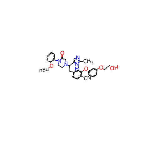 CCCCOc1ccccc1N1CCN(C(Cc2ccc(C#N)c(Oc3cccc(OCCO)c3)c2)c2cnc(C)[nH]2)CC1=O